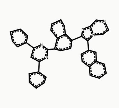 c1ccc(-c2cc(-c3ccccc3)nc(-c3ccc(-c4nc5cnccn5c4-c4ccc5ccccc5c4)c4ccccc34)n2)cc1